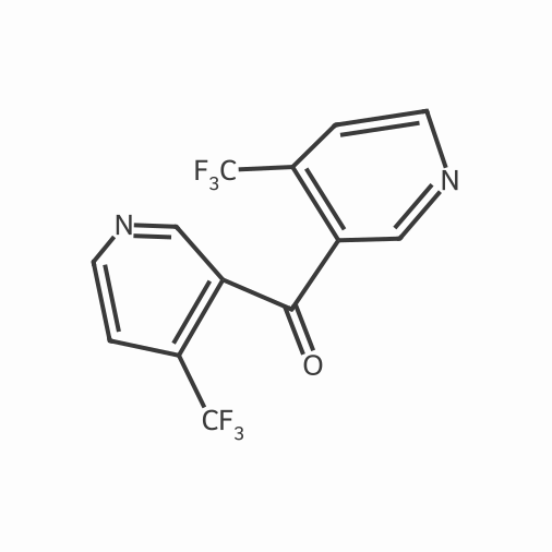 O=C(c1cnccc1C(F)(F)F)c1cnccc1C(F)(F)F